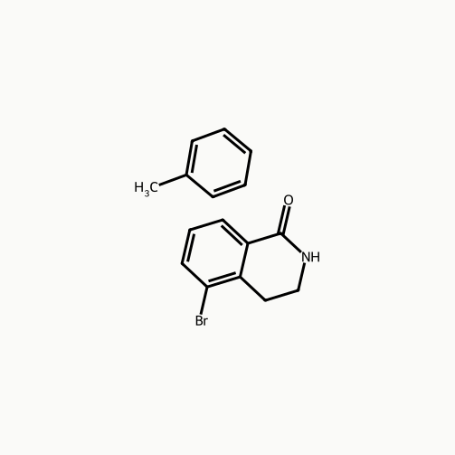 Cc1ccccc1.O=C1NCCc2c(Br)cccc21